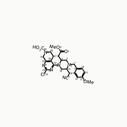 COC(=O)CC1CN(Cc2ccc(OC)cc2)C(CC#N)CN1c1nc(Cl)nc2c1CCN(C(=O)O)C2